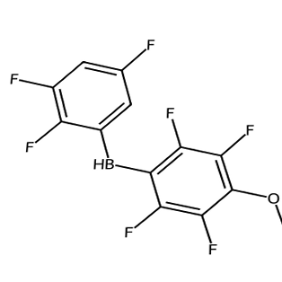 COc1c(F)c(F)c(Bc2cc(F)cc(F)c2F)c(F)c1F